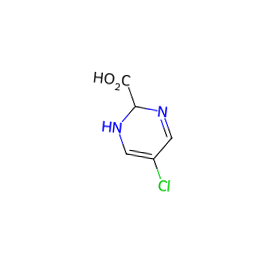 O=C(O)C1N=CC(Cl)=CN1